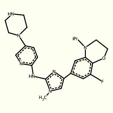 CC(C)N1CCOc2c(F)cc(-c3cn(C)c(Nc4ccc(N5CCNCC5)cn4)n3)cc21